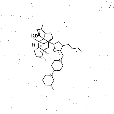 CCCCC1CC(C23C[C@@H]4[C@H](C)CC[C@H]4C4(C=O)CC2C=C(C(C)C)C34C(=O)O)OC1CN1CCC(N2CCCC(C)C2)CC1